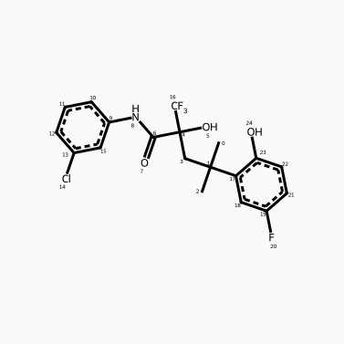 CC(C)(CC(O)(C(=O)Nc1cccc(Cl)c1)C(F)(F)F)c1cc(F)ccc1O